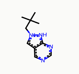 CC(C)(C)C[n+]1cc2cncnc2[nH]1